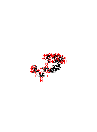 CC(CCC(OC1OC(COC2OC(CO)C(O)C(O)C2O)C(O)C(O)C1OC1OC(CO)C(O)C(O)C1O)C(C)(C)O)C1CCC2(C)C3CC=C4C(CCC(OC5OC(COC6OC(COC7OC(CO)C(O)C(O)C7O)C(O)C(O)C6O)C(O)C(O)C5O)C4(C)C)C3(C)C(=O)CC12C